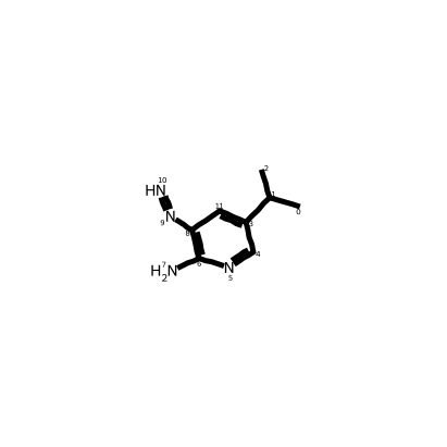 CC(C)c1cnc(N)c(N=N)c1